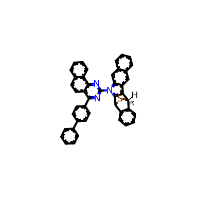 c1ccc(-c2ccc(-c3nc(-n4c5c(c6cc7ccccc7cc64)[C@@H]4SC5c5ccccc54)nc4c3ccc3ccccc34)cc2)cc1